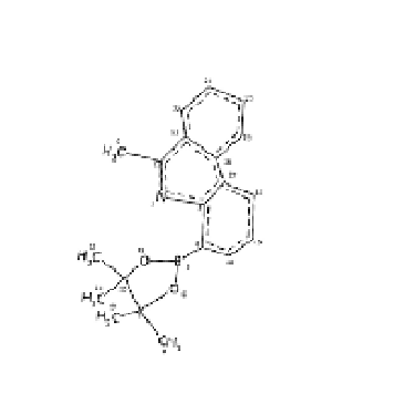 Cc1nc2c(B3OC(C)(C)C(C)(C)O3)cccc2c2ccccc12